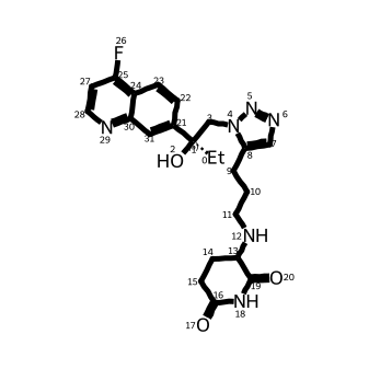 CC[C@@](O)(Cn1nncc1CCCNC1CCC(=O)NC1=O)c1ccc2c(F)ccnc2c1